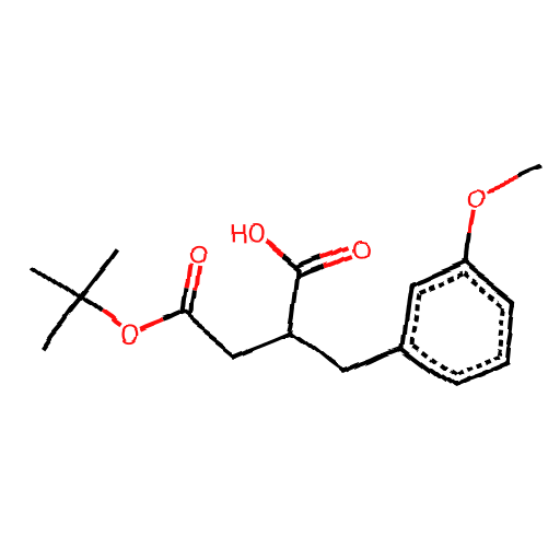 COc1cccc(CC(CC(=O)OC(C)(C)C)C(=O)O)c1